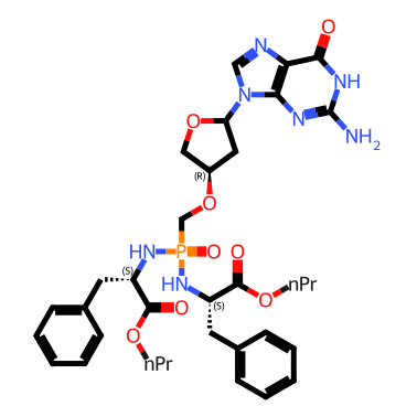 CCCOC(=O)[C@H](Cc1ccccc1)NP(=O)(CO[C@H]1COC(n2cnc3c(=O)[nH]c(N)nc32)C1)N[C@@H](Cc1ccccc1)C(=O)OCCC